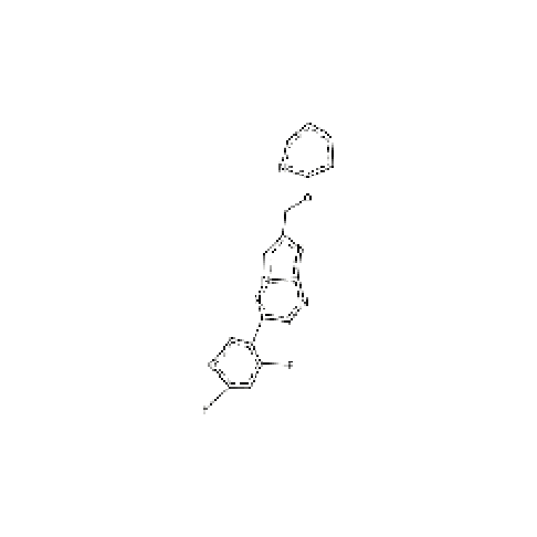 Fc1ccc(-c2cnc3nc(COc4ccccn4)cn3n2)c(F)c1